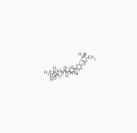 CC1CN(Cc2ccc(-n3ccc(NC(=O)N4CCN(C(=O)C(C)(N)O)CC4)nc3=O)cc2)CC[C@@H]1N